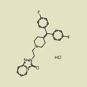 Cl.O=c1n(CCN2CCC(=C(c3ccc(F)cc3)c3ccc(F)cc3)CC2)nc2ccccn12